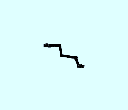 CCCCCC[N]OC(C)=O